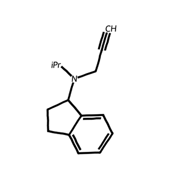 C#CCN(C(C)C)C1CCc2ccccc21